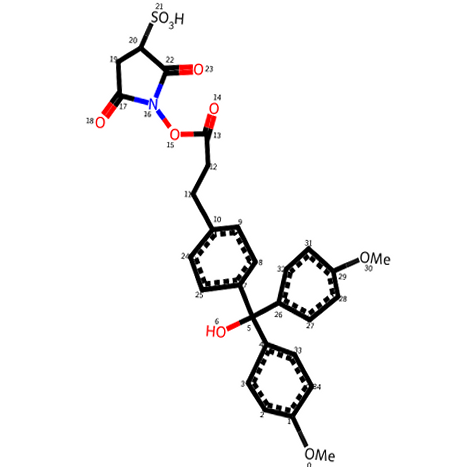 COc1ccc(C(O)(c2ccc(CCC(=O)ON3C(=O)CC(S(=O)(=O)O)C3=O)cc2)c2ccc(OC)cc2)cc1